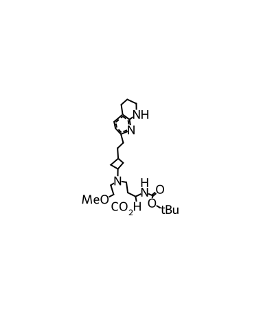 COCCN(CCC(NC(=O)OC(C)(C)C)C(=O)O)C1CC(CCc2ccc3c(n2)NCCC3)C1